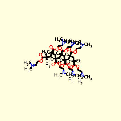 CCC(C)(CC(C)(CC(C)(CC(C)(CC(C)(CC(C)(CC(C)(C)C(=O)OCCN(C)C)C(=O)OCCN(C)C)C(=O)OCCN(C)C)C(=O)OCCN(C)C)C(=O)OCCN(C)C)C(=O)OCCN(C)C)C(=O)OCCN(C)C